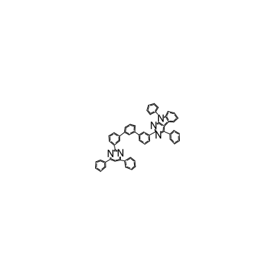 c1ccc(-c2cc(-c3ccccc3)nc(-c3cccc(-c4cccc(-c5cccc(-c6nc(-c7ccccc7)c7c8ccccc8n(-c8ccccc8)c7n6)c5)c4)c3)n2)cc1